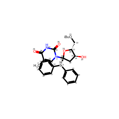 Cc1cn([C@@]2([SiH](c3ccccc3)c3ccccc3)C[C@H](O)[C@@H](COCC(C)C)O2)c(=O)[nH]c1=O